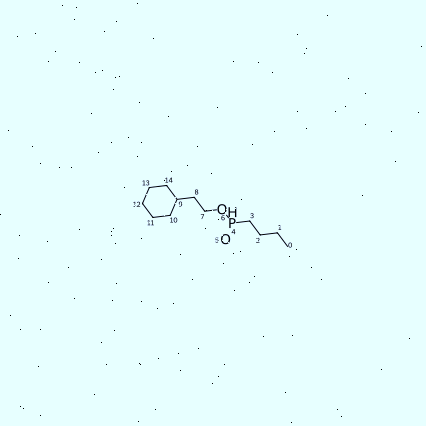 CCCC[PH](=O)OCCC1CCCCC1